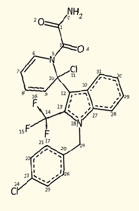 NC(=O)C(=O)N1C=CC=CC1(Cl)c1c(C(F)(F)F)n(Cc2ccc(Cl)cc2)c2ccccc12